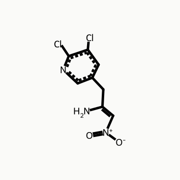 NC(=C[N+](=O)[O-])Cc1cnc(Cl)c(Cl)c1